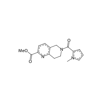 COC(=O)c1ccc2c(n1)CCN(C(=O)c1cccn1C)C2